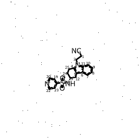 N#CCCn1c2c(c3ccccc31)C[C@H](NS(=O)(=O)c1ccncc1)CC2